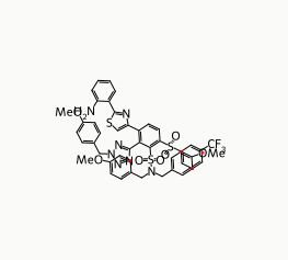 COc1ccc(CN(Cc2ccc(OC)cc2)S(=O)(=O)c2c(S(=O)(=O)c3cccc(C(F)(F)F)c3)ccc(-c3csc(-c4ccccc4N)n3)c2-c2nnn(Cc3ccc(OC)cc3)n2)cc1